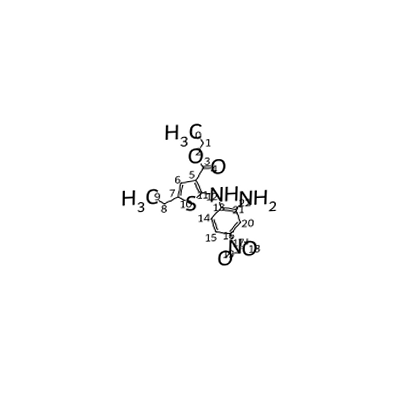 CCOC(=O)c1cc(CC)sc1Nc1ccc([N+](=O)[O-])cc1N